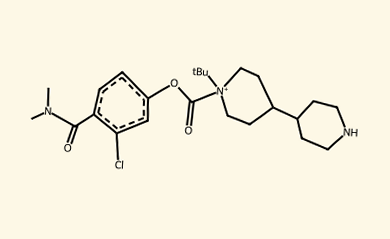 CN(C)C(=O)c1ccc(OC(=O)[N+]2(C(C)(C)C)CCC(C3CCNCC3)CC2)cc1Cl